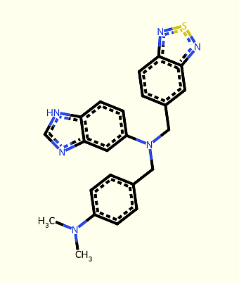 CN(C)c1ccc(CN(Cc2ccc3nsnc3c2)c2ccc3[nH]cnc3c2)cc1